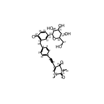 Cn1cc(C#Cc2ccc(Cc3cc([C@@H]4OC(CO)[C@@H](O)C(O)[C@H]4O)ccc3Cl)cc2)c(=O)n(C)c1=O